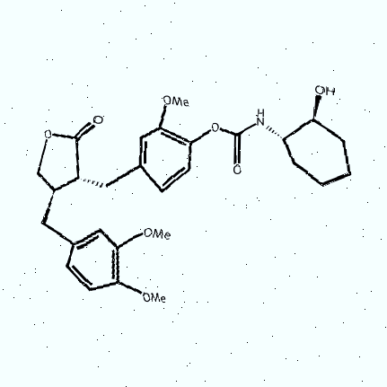 COc1ccc(C[C@H]2COC(=O)[C@@H]2Cc2ccc(OC(=O)N[C@H]3CCCC[C@@H]3O)c(OC)c2)cc1OC